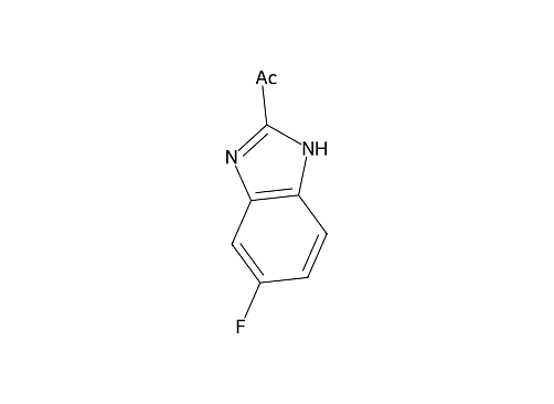 CC(=O)c1nc2cc(F)ccc2[nH]1